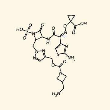 NCC1CN(C(=O)OCc2cnn(CC3C(NC(=O)/C(=N\OC4(C(=O)O)CC4)c4csc(N)n4)C(=O)N3S(=O)(=O)O)n2)C1